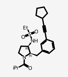 CCS(=O)(=O)N[C@@H]1CCN(C(=O)C(C)C)[C@@H]1Cc1cccc(C#CC2CCCC2)c1